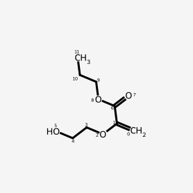 C=C(OCCO)C(=O)OCCC